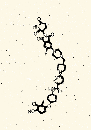 Cc1c(O[C@H]2CC[C@H](NC(=O)c3ccc(N4CCC(CN5CCN(c6cc7c(cc6F)C(=O)N(C6CCC(=O)NC6=O)C7=O)CC5)CC4)nn3)CC2)ccc(C#N)c1Cl